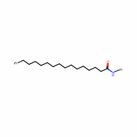 CC(C)CCCCCCCCCCCCCCC(=O)NC(C)C